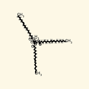 CCCCCCCCC=CCCCCCCCC(=O)OCC(C)(COC(=O)CCCCCCCC=CCCCCCCCC)C(=O)OC(=O)CCCCCCCC=CCCCCCCCC